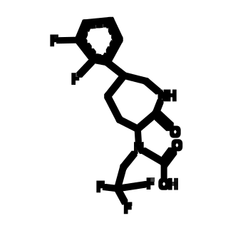 O=C1NCC(c2cccc(F)c2F)CCC1N(CC(F)(F)F)C(=O)O